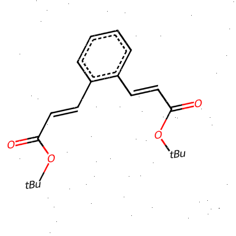 CC(C)(C)OC(=O)C=Cc1ccccc1C=CC(=O)OC(C)(C)C